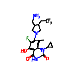 Cc1c(N2CC(CN)C(CC(F)(F)F)C2)c(F)c(O)c2c(=O)[nH]c(=O)n(C3CC3)c12